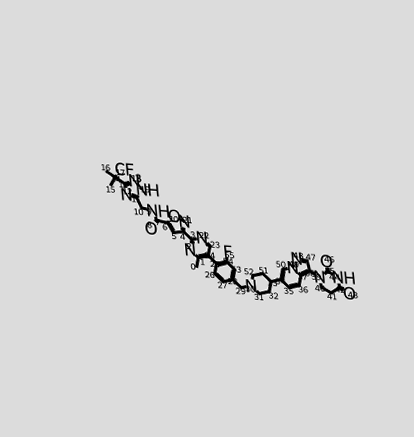 Cc1nc(-c2cc(C(=O)NCc3nc(C(C)(C)C(F)(F)F)n[nH]3)on2)ncc1-c1ccc(CN2CCC(c3ccc4c(N5CCC(=O)NC5=O)cnn4c3)CC2)cc1F